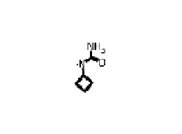 NC(=O)[N]C1CCC1